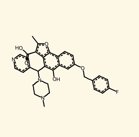 Cc1oc2c(c1C(=O)O)c(C(c1ccncc1)N1CCN(C)CC1)c(O)c1cc(OCc3ccc(F)cc3)ccc12